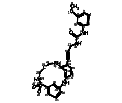 COc1cccc(NC(=O)NCC#Cc2cnc3nc2NCCCNS(=O)(=O)c2cccc(c2)N3)c1